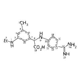 CCNc1cc(C)cc(C(Nc2ccc(C(=N)N)cc2)C(=O)O)c1